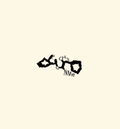 CNC(Oc1cccc2ccccc12)=C(C)c1ccccc1